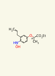 C=CCc1cc(O[C@H](C)C(=O)OCC)ccc1NO